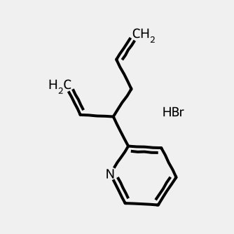 Br.C=CCC(C=C)c1ccccn1